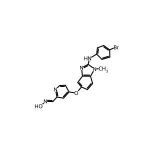 Cn1c(Nc2ccc(Br)cc2)nc2cc(Oc3ccnc(/C=N/O)c3)ccc21